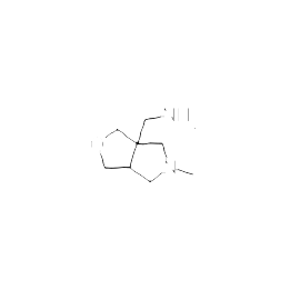 CN1CC2COCC2(CN)C1